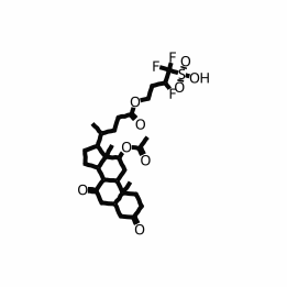 CC(=O)OC1CC2C(C(=O)CC3CC(=O)CCC32C)C2CCC(C(C)CCC(=O)OCCC(F)C(F)(F)S(=O)(=O)O)C12C